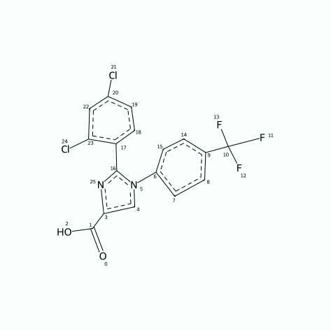 O=C(O)c1cn(-c2ccc(C(F)(F)F)cc2)c(-c2ccc(Cl)cc2Cl)n1